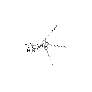 CCCCCCCCCCCCOc1cc(C(=O)Nc2cc(N)cc(N)c2)cc(OCCCCCCCCCCCC)c1OCCCCCCCCCCCC